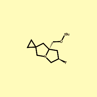 CC(C)(C)OC[C@]12C[C@@H](F)CN1CC1(CC1)C2